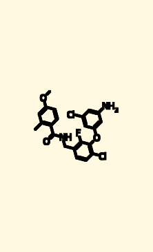 COc1ccc(C(=O)NCc2ccc(Cl)c(Oc3cc(N)cc(Cl)c3)c2F)c(C)c1